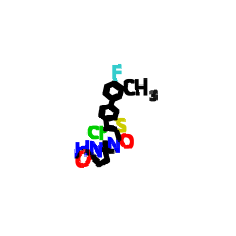 Cc1cc(-c2ccc3c(Cl)c(C(=O)N4CC5(CCC(=O)N5)C4)sc3c2)ccc1F